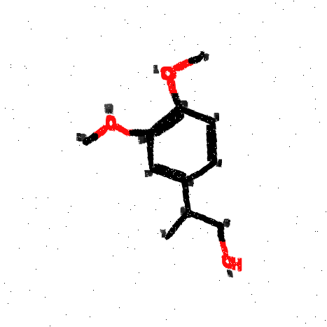 COc1ccc([C](C)CO)cc1OC